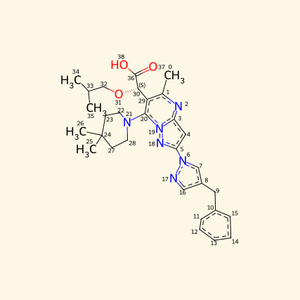 Cc1nc2cc(-n3cc(Cc4ccccc4)cn3)nn2c(N2CCC(C)(C)CC2)c1[C@H](OCC(C)C)C(=O)O